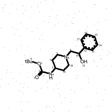 CC(C)(C)OC(=O)NC1CCN(CC(O)c2ccccc2)CC1